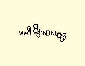 COC(=O)c1cc(=O)n(CCN2CCC(NCc3ccc4c(c3)OCCO4)CC2)c2ccccc12